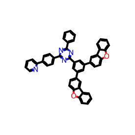 c1ccc(-c2nc(-c3ccc(-c4ccccn4)cc3)nc(-c3cc(-c4ccc5oc6ccccc6c5c4)cc(-c4ccc5oc6ccccc6c5c4)c3)n2)cc1